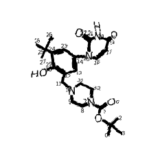 CC(C)(C)OC(=O)N1CCN(Cc2cc(-n3ccc(=O)[nH]c3=O)cc(C(C)(C)C)c2O)CC1